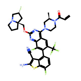 C=CC(=O)N1CCN(c2nc(OC[C@@]34CCCN3C[C@H](F)C4)nc3c(F)c(-c4ccc(F)c5sc(N)c(C#N)c45)c(C(F)(F)F)cc23)C[C@H]1C